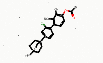 CCCC12CCC(c3ccc(-c4ccc(OC(=O)CC)c(C#N)c4C#N)c(Cl)c3)(CC1)CC2